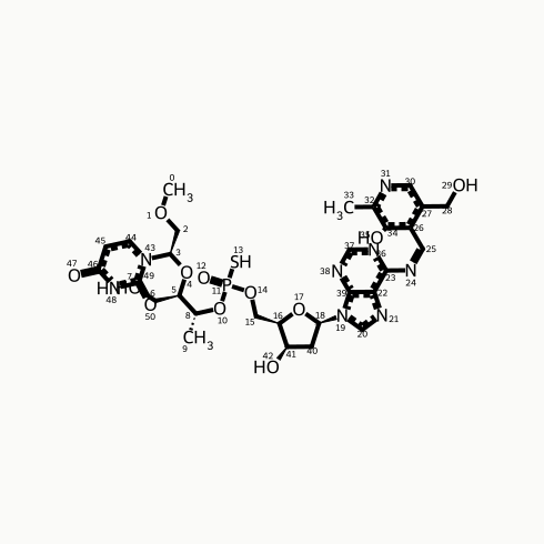 COC[C@@H](O[C@H](CO)[C@@H](C)OP(=O)(S)OC[C@H]1O[C@@H](n2cnc3c(/N=C\c4c(CO)cnc(C)c4O)ncnc32)C[C@H]1O)n1ccc(=O)[nH]c1=O